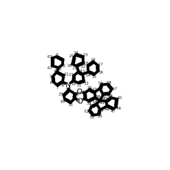 C1=CCC(c2cccc(N(c3ccc(-c4ccccc4)c(-c4ccccc4)c3)c3cccc4c3Oc3cc5c(cc3O4)C3(c4ccccc4-c4ccccc43)c3ccccc3-5)c2)C=C1